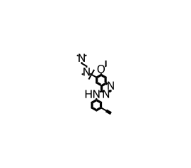 C#Cc1cccc(Nc2ncnc3cc(OCC)c(C(C)(C)N(C)CCN(C)C)cc23)c1